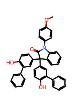 COc1ccc(N2C(=O)C(c3ccc(O)c(-c4ccccc4)c3)(c3ccc(O)c(-c4ccccc4)c3)c3ccccc32)cc1